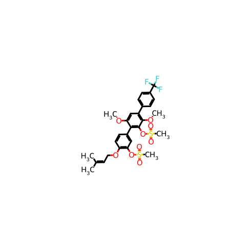 COc1cc(-c2ccc(C(F)(F)F)cc2)c(OC)c(OS(C)(=O)=O)c1-c1ccc(OCC=C(C)C)c(OS(C)(=O)=O)c1